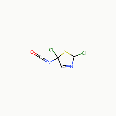 O=C=NC1(Cl)C=NC(Cl)S1